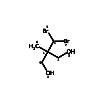 CC(CO)(CO)C(Br)Br